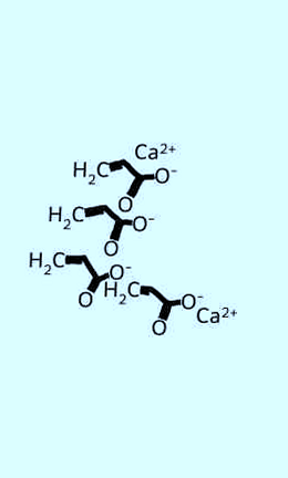 C=CC(=O)[O-].C=CC(=O)[O-].C=CC(=O)[O-].C=CC(=O)[O-].[Ca+2].[Ca+2]